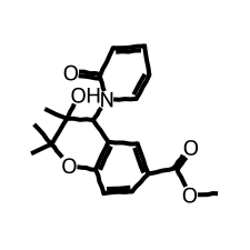 COC(=O)c1ccc2c(c1)C(n1ccccc1=O)C(C)(O)C(C)(C)O2